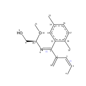 C=C(/C=C\C)/C(=N/[C@@H](CO)OC)c1cc(C)ccc1C